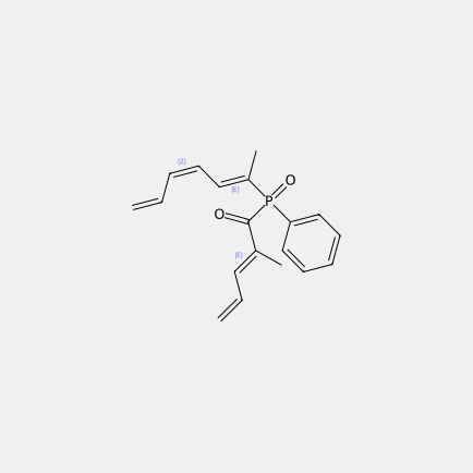 C=C/C=C\C=C(/C)P(=O)(C(=O)/C(C)=C/C=C)c1ccccc1